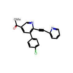 COC(=O)c1cnc(C#Cc2ccccn2)c(-c2ccc(Cl)cc2)c1